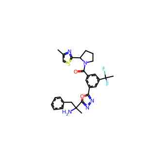 Cc1csc(C2CCCN2C(=O)c2cc(-c3nnc(C(C)(N)Cc4ccccc4)o3)cc(C(C)(F)F)c2)n1